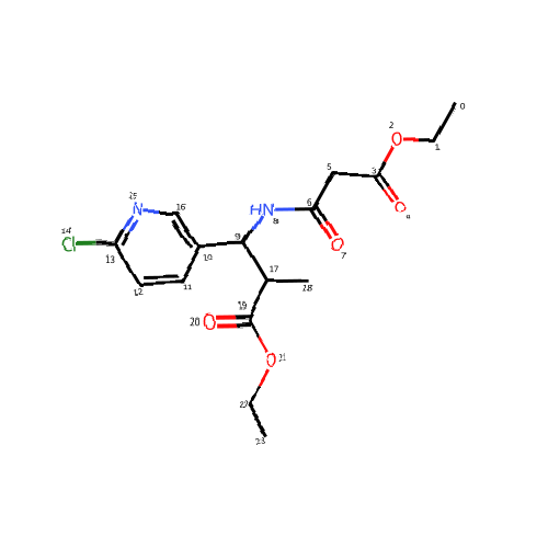 CCOC(=O)CC(=O)NC(c1ccc(Cl)nc1)C(C)C(=O)OCC